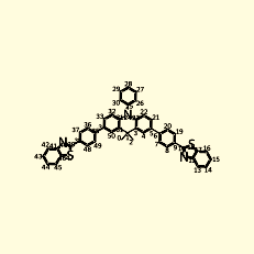 CC1(C)c2cc(-c3ccc(-c4nc5ccccc5s4)cc3)ccc2N(c2ccccc2)c2ccc(-c3ccc(-c4nc5ccccc5s4)cc3)cc21